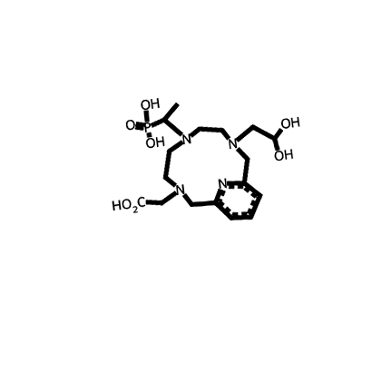 CC(N1CCN(CC(=O)O)Cc2cccc(n2)CN(CC(O)O)CC1)P(=O)(O)O